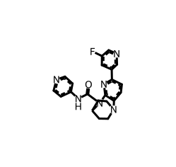 O=C(Nc1ccncc1)N1c2nc(-c3cncc(F)c3)ccc2N2CCC1CC2